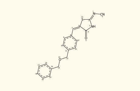 N#C/N=C1\NC(=O)/C(=C\c2ccc(COCc3ccccc3)cc2)S1